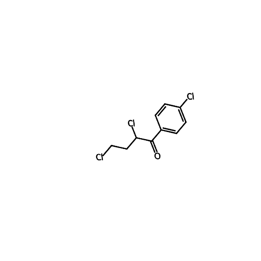 O=C(c1ccc(Cl)cc1)C(Cl)CCCl